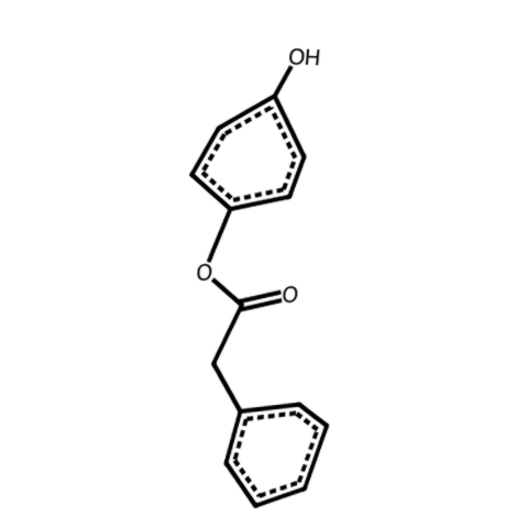 O=C(Cc1ccccc1)Oc1ccc(O)cc1